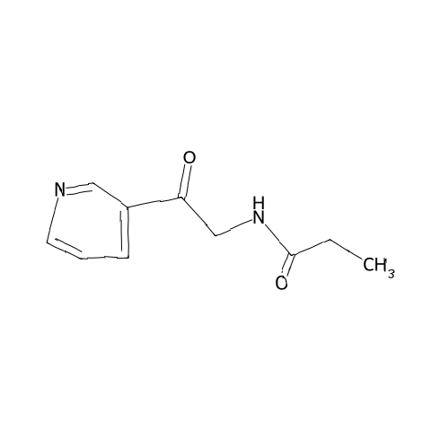 CCC(=O)NCC(=O)c1cccnc1